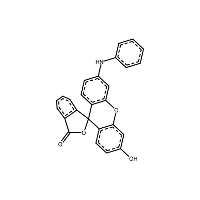 O=C1OC2(c3ccc(O)cc3Oc3cc(Nc4ccccc4)ccc32)c2ccccc21